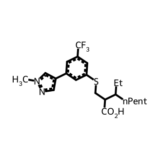 CCCCCC(CC)C(CSc1cc(-c2cnn(C)c2)cc(C(F)(F)F)c1)C(=O)O